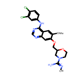 COc1cc2c(Nc3ccc(Cl)c(Cl)c3)ncnc2cc1OCC1CN(/C(N)=N/C#N)CCO1